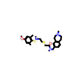 COc1cc(C)c(SN(C)CCSCC(=O)N(C)Cc2ccc3c(c2)CCN(C)CC3)c(C)c1